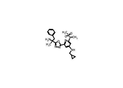 CN(c1cc(NCC2CC2)cc(-c2nnc([C@](C)(N)Cc3ccccc3)o2)n1)S(C)(=O)=O